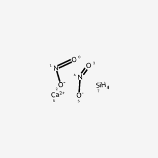 O=N[O-].O=N[O-].[Ca+2].[SiH4]